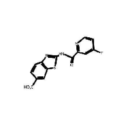 O=C(O)c1ccc2nc(NC(=O)c3cc(F)ccn3)sc2c1